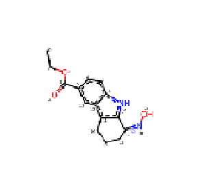 CCOC(=O)c1ccc2[nH]c3c(c2c1)CCC/C3=N/O